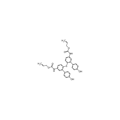 C=CCOC(=O)Nc1ccc(Sc2ccc(NC(=O)OCC=C)cc2-c2ccc(O)cc2)c(-c2ccc(O)cc2)c1